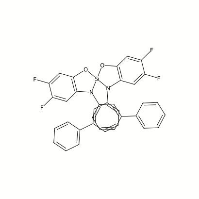 Fc1cc2c(cc1F)N(c1cccc(-c3ccccc3)c1)[Si]1(O2)Oc2cc(F)c(F)cc2N1c1cccc(-c2ccccc2)c1